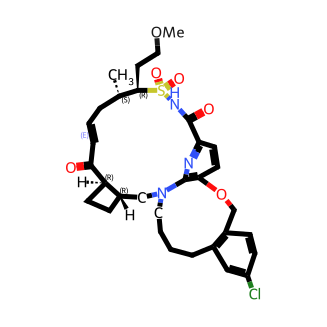 COCC[C@@H]1[C@@H](C)C/C=C/C(=O)[C@@H]2CC[C@H]2CN2CCCCc3cc(Cl)ccc3COc3ccc(nc32)C(=O)NS1(=O)=O